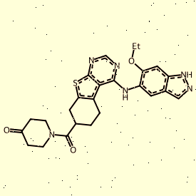 CCOc1cc2[nH]ncc2cc1Nc1ncnc2sc3c(c12)CCC(C(=O)N1CCC(=O)CC1)C3